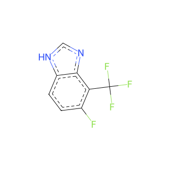 Fc1ccc2[nH]cnc2c1C(F)(F)F